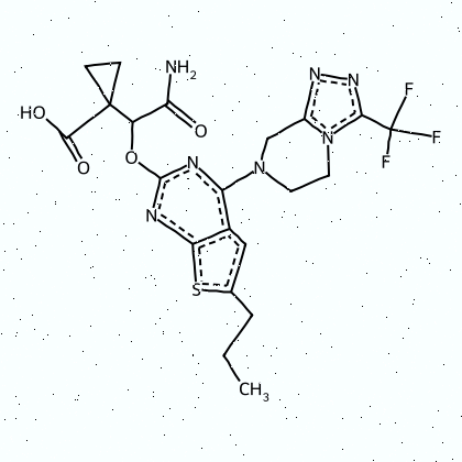 CCCc1cc2c(N3CCn4c(nnc4C(F)(F)F)C3)nc(OC(C(N)=O)C3(C(=O)O)CC3)nc2s1